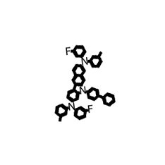 Cc1cccc(N(c2cccc(F)c2)c2ccc3cc4c5ccc(N(c6cccc(C)c6)c6cccc(F)c6)cc5n(-c5ccc(-c6ccccc6)cc5)c4cc3c2)c1